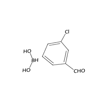 O=Cc1cccc(Cl)c1.OBO